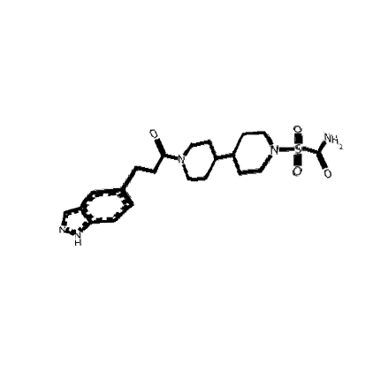 NC(=O)S(=O)(=O)N1CCC(C2CCN(C(=O)[CH]Cc3ccc4[nH]ncc4c3)CC2)CC1